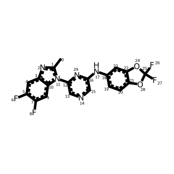 Cc1nc2cc(F)c(F)cc2n1-c1cncc(Nc2ccc3c(c2)OC(F)(F)O3)n1